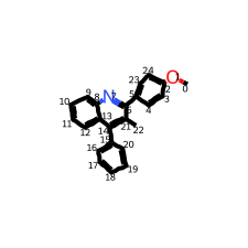 COc1ccc(-c2nc3ccccc3c(-c3ccccc3)c2C)cc1